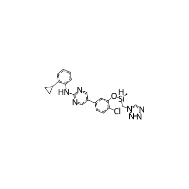 C[Si@@H](Cn1cnnn1)Oc1cc(-c2cnc(Nc3ccccc3C3CC3)nc2)ccc1Cl